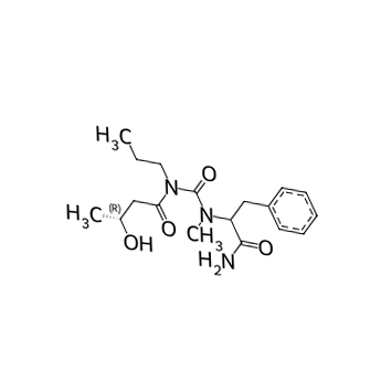 CCCN(C(=O)C[C@@H](C)O)C(=O)N(C)C(Cc1ccccc1)C(N)=O